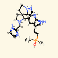 CP(C)(=O)/C=C/c1c[nH]c2ncc(C3N(Cc4ncc[nH]4)CCC34CCn3nccc34)cc12